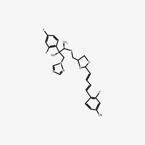 C[C@@H](SCC1COC(/C=C/C=C/c2ccc(C#N)cc2F)O1)[C@](O)(Cn1cncn1)c1ccc(F)cc1F